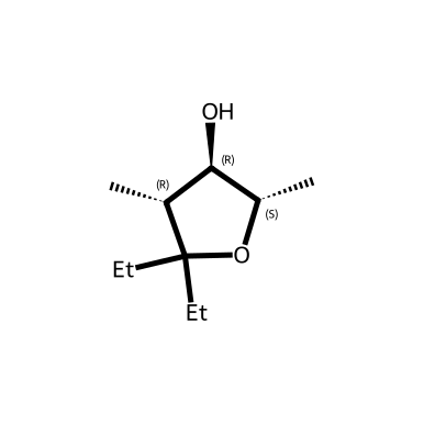 CCC1(CC)O[C@@H](C)[C@H](O)[C@H]1C